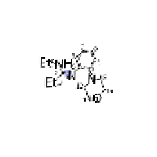 CCN/C(CC)=N\c1ccccc1N1CCOCC1